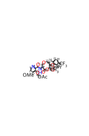 COc1ccnc(C(=O)N[C@H]2COC[C@H](Cc3ccc(C(F)(F)F)cc3)[C@@H](OC(=O)C(C)C)[C@H](C)OC2=O)c1OCOC(C)=O